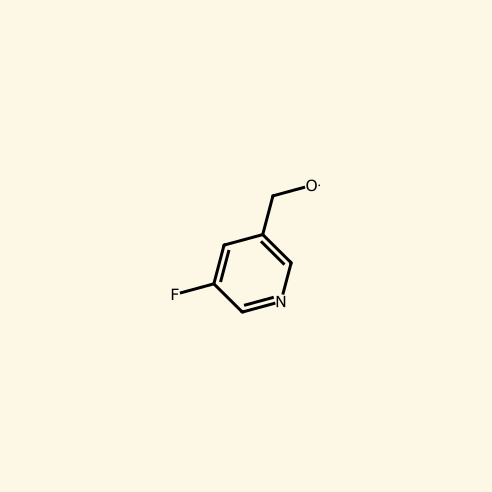 [O]Cc1cncc(F)c1